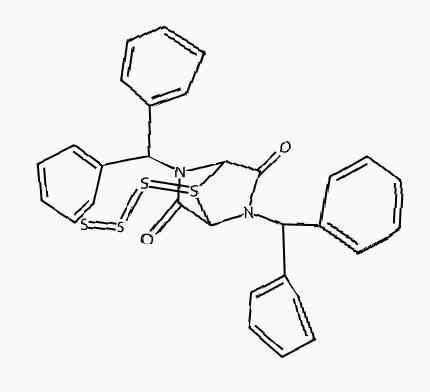 O=C1C2N(C(c3ccccc3)c3ccccc3)C(=O)C(N1C(c1ccccc1)c1ccccc1)S2=S=S=S